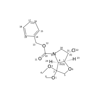 COC1(OC)CO[C@H]2[C@@H]1N(C(=O)OCc1ccccc1)C[C@@H]2Cl